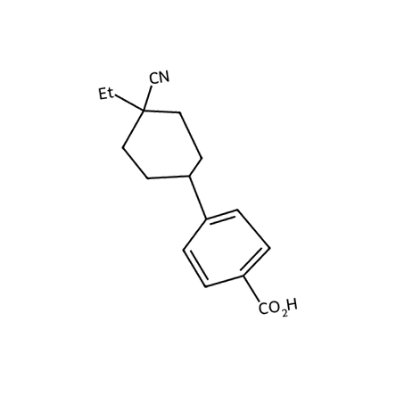 CCC1(C#N)CCC(c2ccc(C(=O)O)cc2)CC1